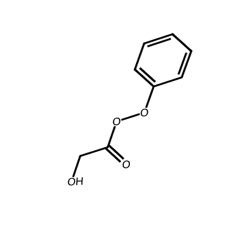 O=C(CO)OOc1ccccc1